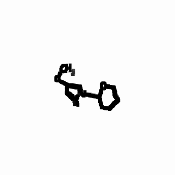 COc1cnn(C2CCCCO2)c1